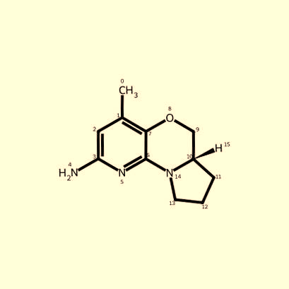 Cc1cc(N)nc2c1OC[C@@H]1CCCN21